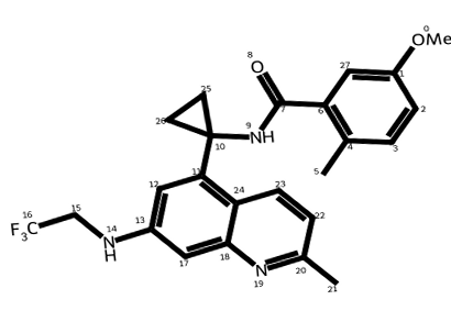 COc1ccc(C)c(C(=O)NC2(c3cc(NCC(F)(F)F)cc4nc(C)ccc34)CC2)c1